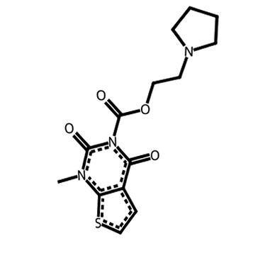 Cn1c(=O)n(C(=O)OCCN2CCCC2)c(=O)c2ccsc21